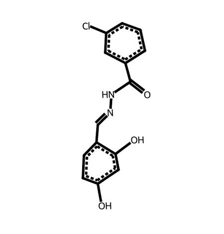 O=C(NN=Cc1ccc(O)cc1O)c1cccc(Cl)c1